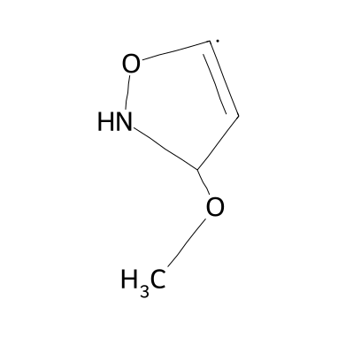 COC1C=[C]ON1